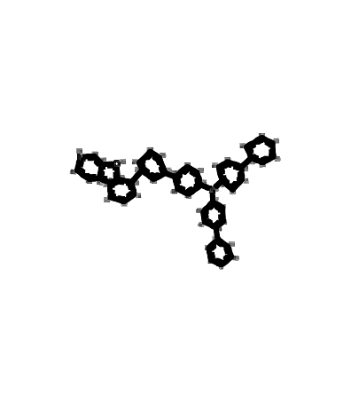 c1ccc(-c2ccc(N(c3ccc(-c4ccccc4)cc3)c3ccc(-c4cccc(-c5cccc6c5oc5cnccc56)c4)cc3)cc2)cc1